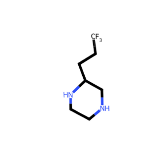 FC(F)(F)CCC1CNCCN1